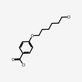 O=C(Cl)c1ccc(OCCCCCCCl)cc1